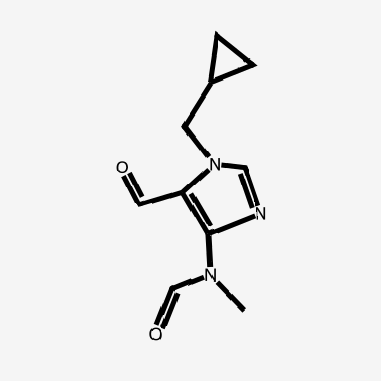 CN(C=O)c1ncn(CC2CC2)c1C=O